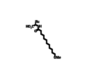 CCC(C)[C@@H](NC(=O)CCCCCCCCCCCOC)C(=O)O